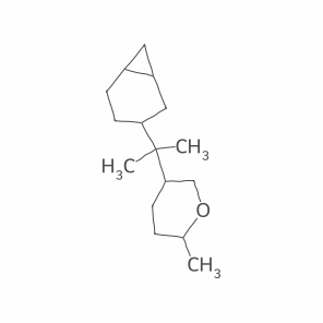 CC1CCC(C(C)(C)C2CCC3CC3C2)CO1